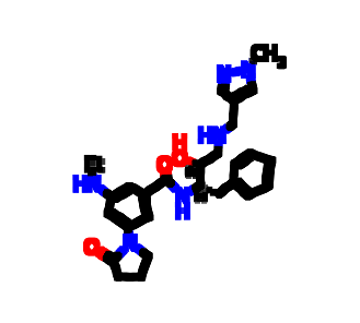 CCNc1cc(C(=O)N[C@@H](Cc2ccccc2)[C@@H](O)CNCc2cnn(C)c2)cc(N2CCCC2=O)c1